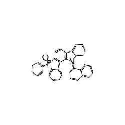 O=P1(c2ccccc2)c2ccccc2-c2c1ccc1c3ccccc3n(-c3cccc4ccccc34)c21